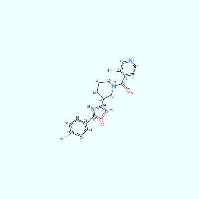 O=C(c1ccncc1F)N1CCCC(c2noc(-c3ccc(F)cc3)n2)C1